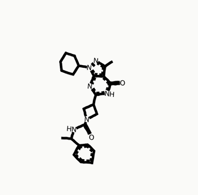 Cc1nn(C2CCCCC2)c2nc(C3CN(C(=O)NC(C)c4ccccc4)C3)[nH]c(=O)c12